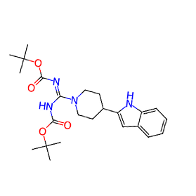 CC(C)(C)OC(=O)/N=C(\NC(=O)OC(C)(C)C)N1CCC(c2cc3ccccc3[nH]2)CC1